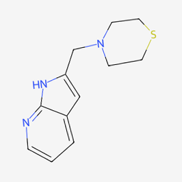 c1cnc2[nH]c(CN3CCSCC3)cc2c1